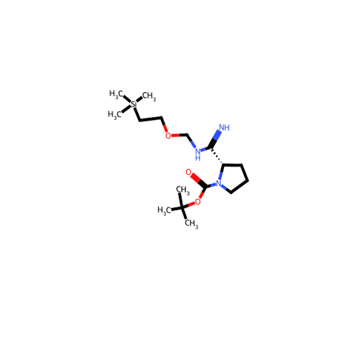 CC(C)(C)OC(=O)N1CCC[C@H]1C(=N)NCOCC[Si](C)(C)C